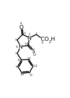 O=C(O)CN1C(=O)CN(Cc2ccccc2)C1=S